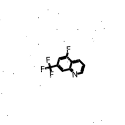 Fc1cc(C(F)(F)F)cc2ncccc12